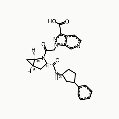 O=C(O)c1nn(CC(=O)N2[C@@H]3C[C@@H]3C[C@H]2C(=O)N[C@H]2CCC(c3ccccc3)C2)c2cnccc12